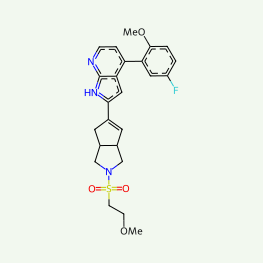 COCCS(=O)(=O)N1CC2C=C(c3cc4c(-c5cc(F)ccc5OC)ccnc4[nH]3)CC2C1